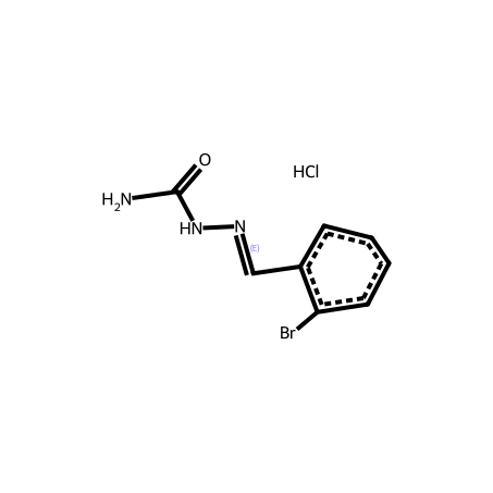 Cl.NC(=O)N/N=C/c1ccccc1Br